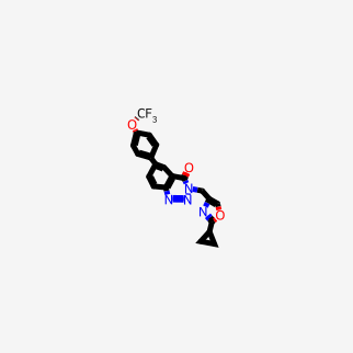 O=c1c2cc(-c3ccc(OC(F)(F)F)cc3)ccc2nnn1Cc1coc(C2CC2)n1